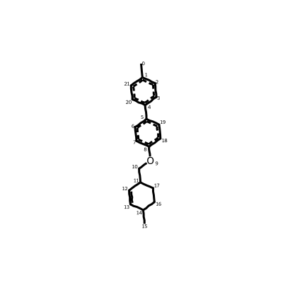 Cc1ccc(-c2ccc(OCC3C=CC(C)CC3)cc2)cc1